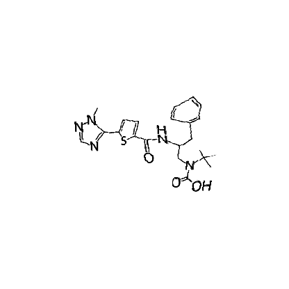 Cn1ncnc1-c1ccc(C(=O)NC(Cc2ccccc2)CN(C(=O)O)C(C)(C)C)s1